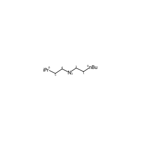 CCCCCC[N]CCC(C)C